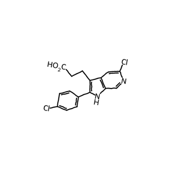 O=C(O)CCc1c(-c2ccc(Cl)cc2)[nH]c2cnc(Cl)cc12